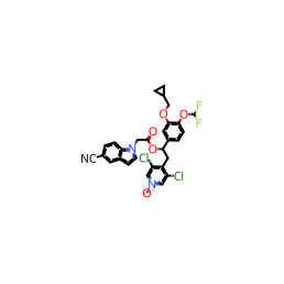 N#Cc1ccc2c(ccn2CC(=O)OC(Cc2c(Cl)c[n+]([O-])cc2Cl)c2ccc(OC(F)F)c(OCC3CC3)c2)c1